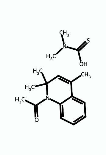 CC(=O)N1c2ccccc2C(C)=CC1(C)C.CN(C)C(O)=S